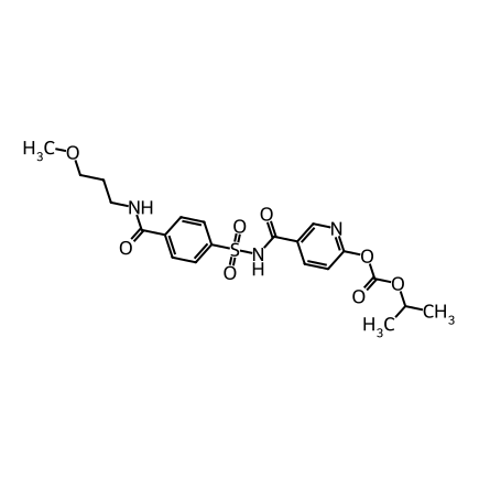 COCCCNC(=O)c1ccc(S(=O)(=O)NC(=O)c2ccc(OC(=O)OC(C)C)nc2)cc1